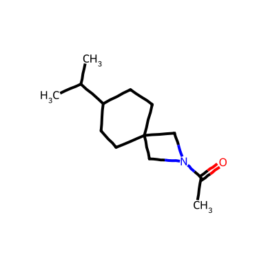 CC(=O)N1CC2(CCC(C(C)C)CC2)C1